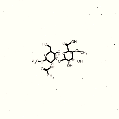 COC1OC(CO)[C@@H](O)[C@H](OC2OC(C(=O)O)[C@@H](OC)[C@H](O)[C@@H]2O)[C@@H]1NC(C)=O